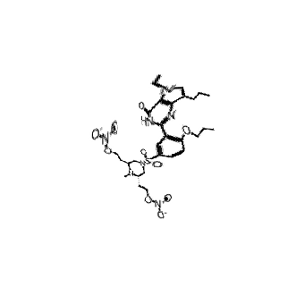 CCCOc1ccc(S(=O)(=O)N2C[C@H](CCO[N+](=O)[O-])N(C)[C@@H](CCO[N+](=O)[O-])C2)cc1-c1nc2c(CCC)cn(CC)c2c(=O)[nH]1